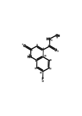 CCC(C)NC(=O)c1cc(=O)[nH]c2cc(F)ccc12